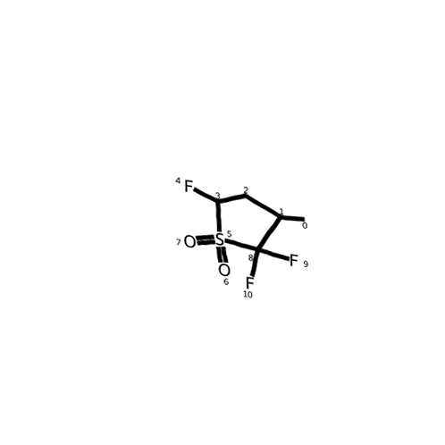 CC1CC(F)S(=O)(=O)C1(F)F